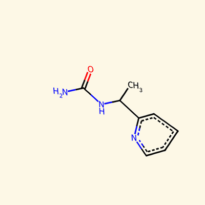 CC(NC(N)=O)c1ccccn1